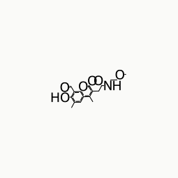 COCCNC(=O)Cc1c(C)c2cc(C)c(O)c(C=O)c2oc1=O